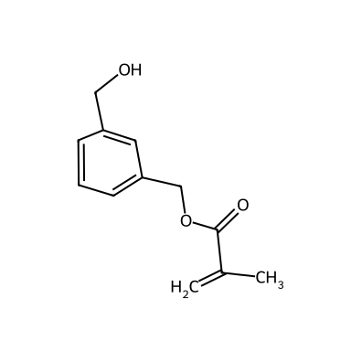 C=C(C)C(=O)OCc1cccc(CO)c1